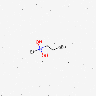 [CH2]CCCCC[N+](O)(O)CC